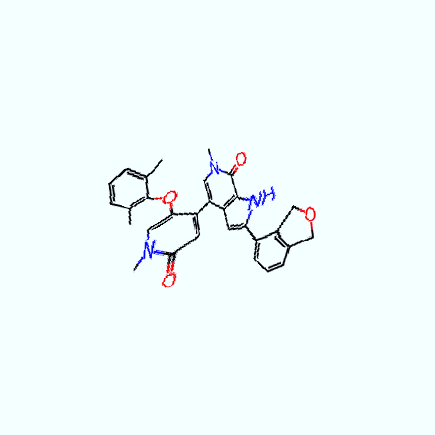 Cc1cccc(C)c1Oc1cn(C)c(=O)cc1-c1cn(C)c(=O)c2[nH]c(-c3cccc4c3COC4)cc12